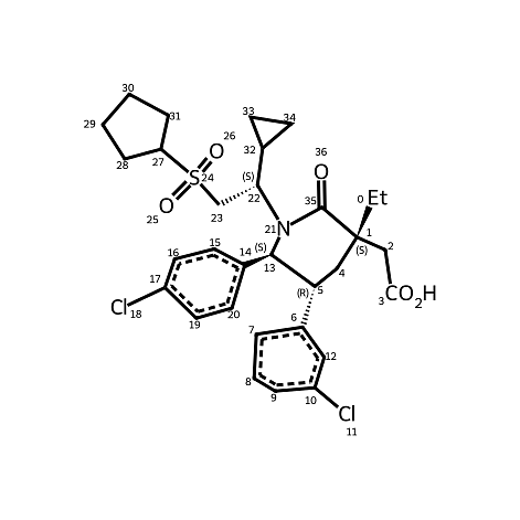 CC[C@@]1(CC(=O)O)C[C@H](c2cccc(Cl)c2)[C@@H](c2ccc(Cl)cc2)N([C@H](CS(=O)(=O)C2CCCC2)C2CC2)C1=O